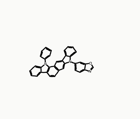 c1ccc(-n2c3ccccc3c3ccc4cc5c(cc4c32)c2ccccc2n5-c2ccc3ncoc3c2)cc1